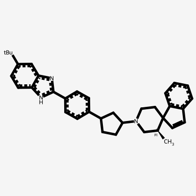 C[C@H]1CN(C2CCC(c3ccc(-c4nc5cc(C(C)(C)C)ccc5[nH]4)cc3)C2)CCC12C=Cc1ccccc12